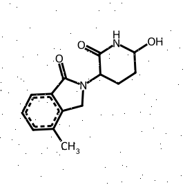 Cc1cccc2c1CN(C1CCC(O)NC1=O)C2=O